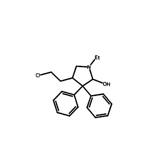 CCN1CC(CCCl)C(c2ccccc2)(c2ccccc2)C1O